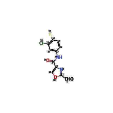 O=Cc1nc(C(=O)Nc2ccc(F)c(Cl)c2)co1